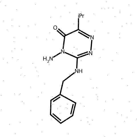 CC(C)c1nnc(NCc2ccccc2)n(N)c1=O